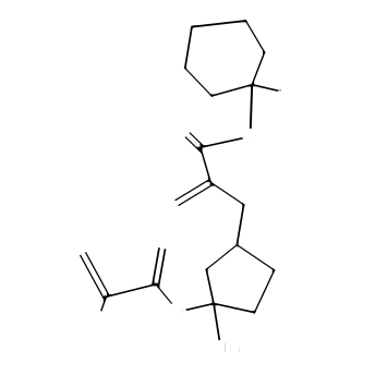 C=C(C)C(=O)OC1(C(C)(C)C)CCC(CC(=C)C(=O)OC2(CC)CCCCC2)C1